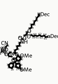 [C-]#[N+]CCOP(O[C@@H]1C[C@@H](COC(c2ccccc2)(c2ccc(OC)cc2)c2ccc(OC)cc2)N(C(=O)CCCCCNC(=O)OCC(COCCCCCCCCCCCCCCCCCC)OCCCCCCCCCCCCCCCCCC)C1)N(C(C)C)C(C)C